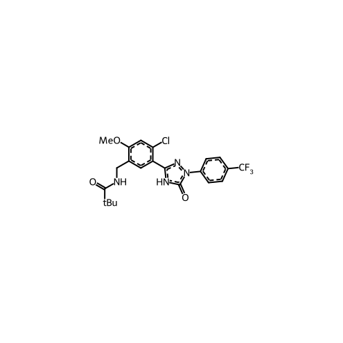 COc1cc(Cl)c(-c2nn(-c3ccc(C(F)(F)F)cc3)c(=O)[nH]2)cc1CNC(=O)C(C)(C)C